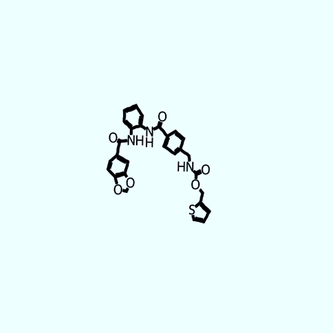 O=C(NCc1ccc(C(=O)Nc2ccccc2NC(=O)c2ccc3c(c2)OCO3)cc1)OCc1cccs1